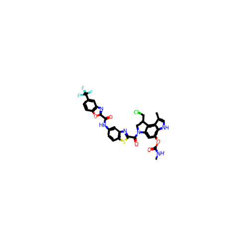 CNC(=O)Oc1cc2c(c3c(C)c[nH]c13)C(CCl)CN2C(=O)c1nc2cc(NC(=O)c3nc4cc(C(F)(F)F)ccc4o3)ccc2s1